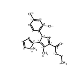 CCOC(=O)c1nn(-c2ccc(Cl)cc2Cl)c(C2=CC=C[SeH2]2)c1C